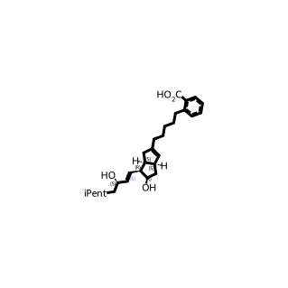 CCCC(C)C[C@H](O)/C=C/[C@H]1[C@H]2CC(CCCCCc3ccccc3C(=O)O)=C[C@H]2C[C@H]1O